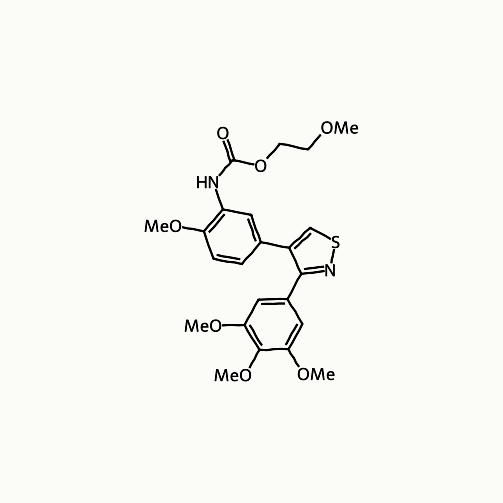 COCCOC(=O)Nc1cc(-c2csnc2-c2cc(OC)c(OC)c(OC)c2)ccc1OC